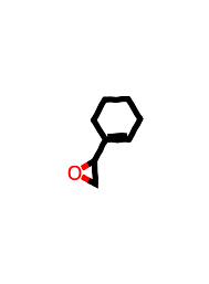 C1=C(C2CO2)CCCC1